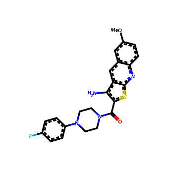 COc1ccc2nc3sc(C(=O)N4CCN(c5ccc(F)cc5)CC4)c(N)c3cc2c1